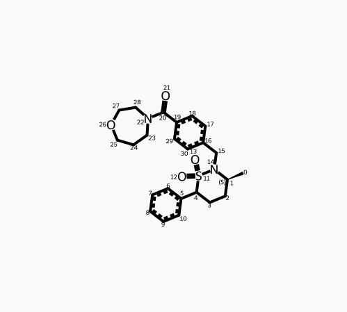 C[C@H]1CCC(c2ccccc2)S(=O)(=O)N1Cc1ccc(C(=O)N2CCCOCC2)cc1